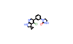 O=C1NCCN1c1cccc(-c2cnc3c(c2Cl)C2(CC2)CN3)c1